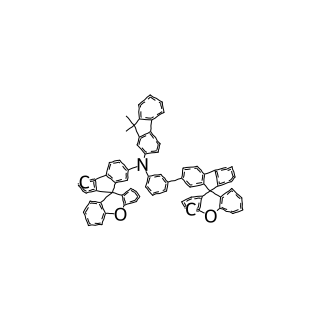 CC1(C)c2ccccc2-c2ccc(N(c3cccc(-c4ccc5c(c4)C4(c6ccccc6Oc6ccccc64)c4ccccc4-5)c3)c3ccc4c(c3)C3(c5ccccc5Oc5ccccc53)c3ccccc3-4)cc21